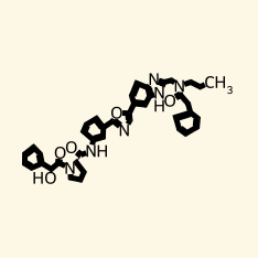 CCCN(Cc1nc2ccc(-c3cnc(-c4cccc(NC(=O)[C@@H]5CCCN5C(=O)[C@H](O)c5ccccc5)c4)o3)cc2[nH]1)C(=O)Cc1ccccc1